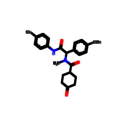 COc1ccc(C(C(=O)Nc2ccc(C(C)(C)C)cc2)N(C)C(=O)C2CCC(=O)CC2)cc1